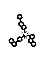 c1ccc(-c2ccc3cc(-c4nc(-c5ccc(-c6cccc7ccccc67)cc5)nc(-c5cccc6c5ccc5ccccc56)n4)ccc3c2)cc1